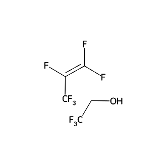 FC(F)=C(F)C(F)(F)F.OCC(F)(F)F